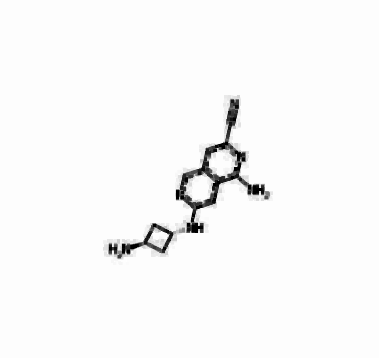 N#Cc1cc2cnc(N[C@H]3C[C@H](N)C3)cc2c(N)n1